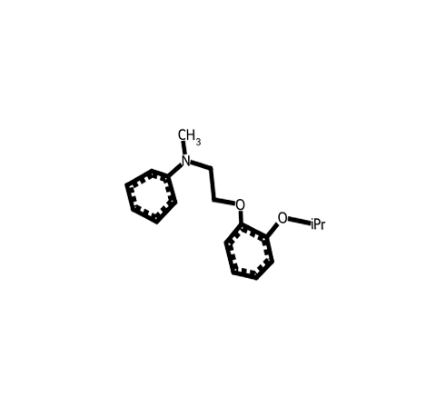 CC(C)Oc1ccccc1OCCN(C)c1ccccc1